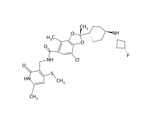 CSc1cc(C)[nH]c(=O)c1CNC(=O)c1cc(Cl)c2c(c1C)O[C@](C)([C@H]1CC[C@H](N[C@H]3C[C@@H](F)C3)CC1)O2